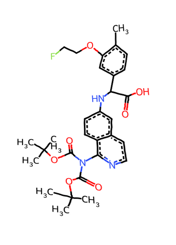 Cc1ccc(C(Nc2ccc3c(N(C(=O)OC(C)(C)C)C(=O)OC(C)(C)C)nccc3c2)C(=O)O)cc1OCCF